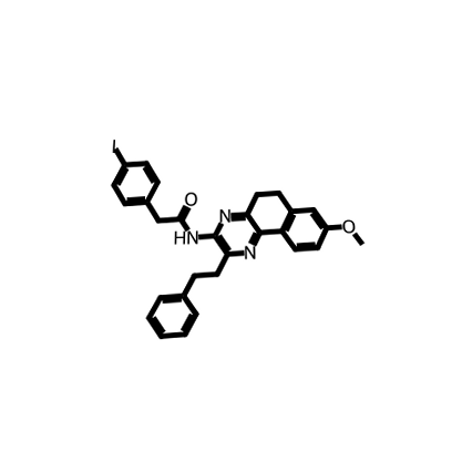 COc1ccc2c(c1)CCc1nc(NC(=O)Cc3ccc(I)cc3)c(CCc3ccccc3)nc1-2